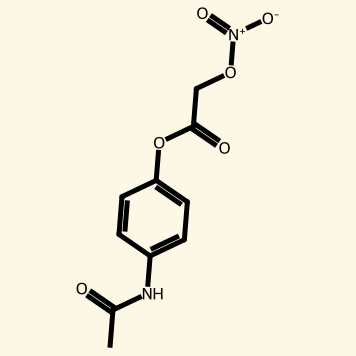 CC(=O)Nc1ccc(OC(=O)CO[N+](=O)[O-])cc1